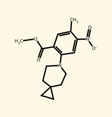 COC(=O)c1cc(C)c([N+](=O)[O-])cc1N1CCC2(CC1)CC2